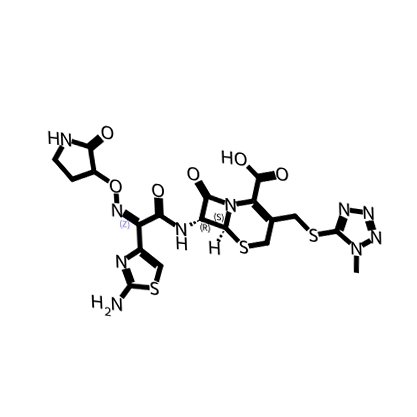 Cn1nnnc1SCC1=C(C(=O)O)N2C(=O)[C@@H](NC(=O)/C(=N\OC3CCNC3=O)c3csc(N)n3)[C@@H]2SC1